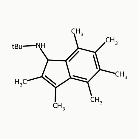 CC1=C(C)c2c(C)c(C)c(C)c(C)c2[C]1NC(C)(C)C